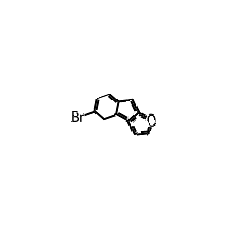 BrC1=CC=C2C=c3occc3=C2C1